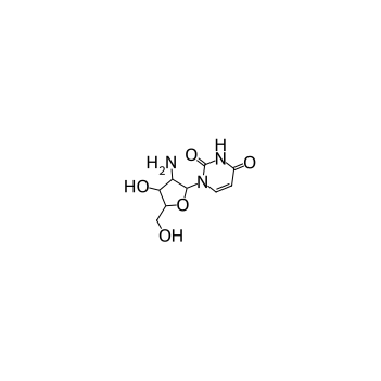 NC1C(O)C(CO)OC1n1ccc(=O)[nH]c1=O